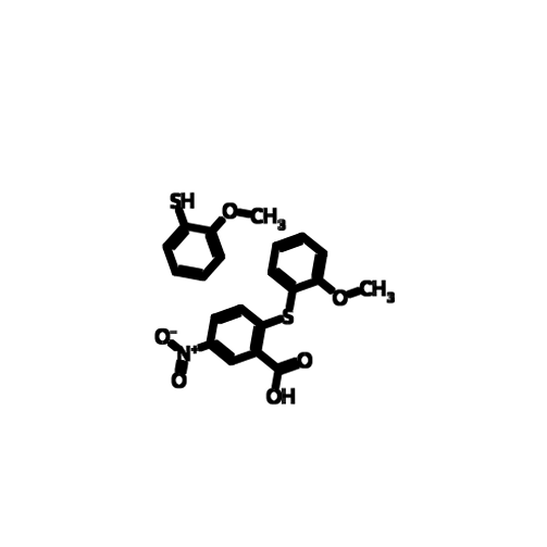 COc1ccccc1S.COc1ccccc1Sc1ccc([N+](=O)[O-])cc1C(=O)O